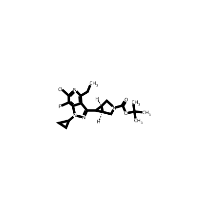 CCc1nc(Cl)c(F)c2c1c(C1[C@H]3CN(C(=O)OC(C)(C)C)C[C@@H]13)nn2C1CC1